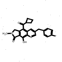 CN1Cc2c(c(O)c3ncc(Cc4ccc(F)cc4)cc3c2C(=O)C2CCC2)C1=O